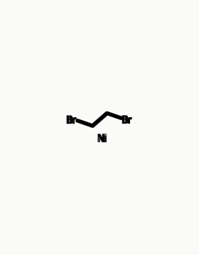 BrCCBr.[Ni]